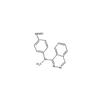 CC(=O)Nc1ccc(N(C)c2nncc3ccccc23)cc1